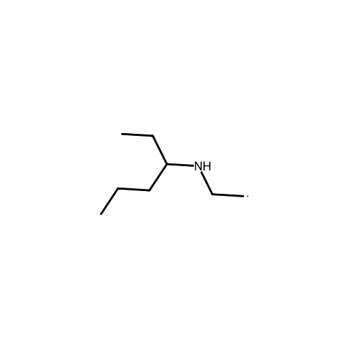 [CH2]CNC(CC)CCC